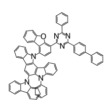 c1ccc(-c2ccc(-c3nc(-c4ccccc4)nc(-c4ccc(-n5c6ccccc6c6cc(-n7c8ccccc8c8ccccc87)c7c(c8ccccc8n7-c7ccccc7)c65)c5c4oc4ccccc45)n3)cc2)cc1